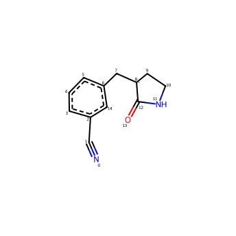 N#Cc1cccc(C[C]2CCNC2=O)c1